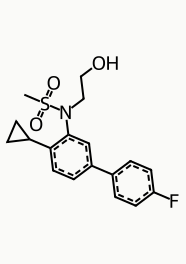 CS(=O)(=O)N(CCO)c1cc(-c2ccc(F)cc2)ccc1C1CC1